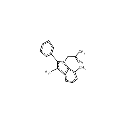 C=C(C)Cn1c(-c2ccccc2)c(C)c2cccc(C)c21